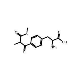 CSC(=O)C(C)C(=O)c1ccc(CC(N)C(=O)O)cc1